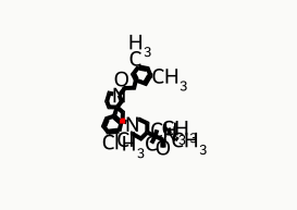 Cc1cc(C)cc(CC(=O)N2CCCC(CCN3CCC(C(C)(C)C(=O)N(C)C)CC3)(c3ccc(Cl)c(Cl)c3)C2)c1